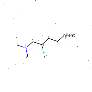 CCCCCCCC(F)CN(C)C